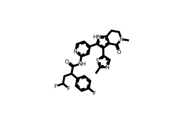 Cc1ncc(-c2c(-c3ccnc(NC(=O)C(CC(F)F)c4ccc(F)cc4)c3)[nH]c3c2C(=O)N(C)CC3)s1